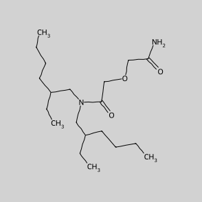 CCCCC(CC)CN(CC(CC)CCCC)C(=O)COCC(N)=O